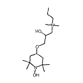 CCC[N+](C)(C)CC(O)COC1CC(C)(C)N(O)C(C)(C)C1